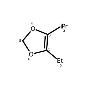 CCC1=C(C(C)C)OCO1